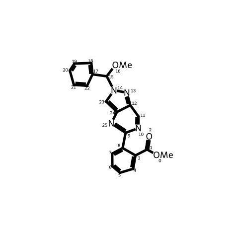 COC(=O)c1ccccc1-c1ncc2nn(C(OC)c3ccccc3)cc2n1